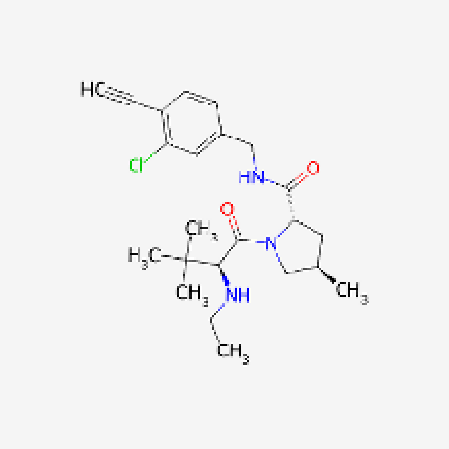 C#Cc1ccc(CNC(=O)[C@@H]2C[C@@H](C)CN2C(=O)[C@@H](NCC)C(C)(C)C)cc1Cl